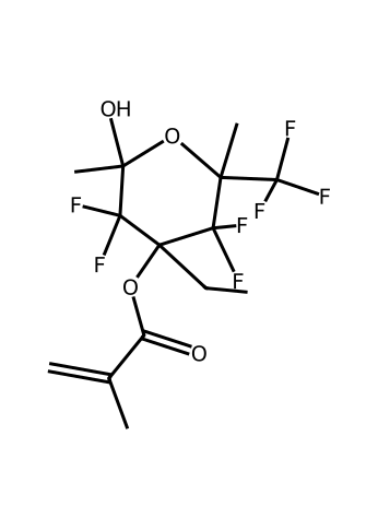 C=C(C)C(=O)OC1(CC)C(F)(F)C(C)(O)OC(C)(C(F)(F)F)C1(F)F